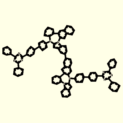 c1ccc(-c2nc(-c3ccccc3)nc(-c3ccc(-c4ccc(N5c6cc7ccc(-c8ccc9c(c8)cc8n9-c9cc%10ccccc%10cc9-c9ccccc9N8c8ccc(-c9ccc(-c%10nc(-c%11ccccc%11)nc(-c%11ccccc%11)n%10)cc9)cc8)cc7cc6-c6ccccc6-n6c5cc5ccccc56)cc4)cc3)n2)cc1